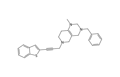 CN1CN(Cc2ccccc2)CC2=C1CCN(CC#Cc1cc3ccccc3s1)C2